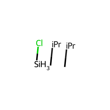 CC(C)C.CC(C)C.[SiH3]Cl